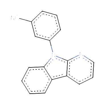 N#Cc1cccc(-n2c3ccccc3c3cccnc32)c1